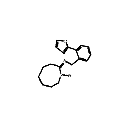 CCN1CCCCCCC1=NCc1ccccc1-c1ccco1